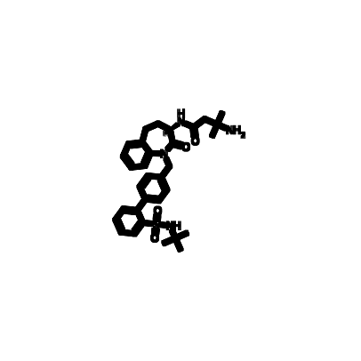 CC(C)(N)CC(=O)N[C@@H]1CCc2ccccc2N(Cc2ccc(-c3ccccc3S(=O)(=O)NC(C)(C)C)cc2)C1=O